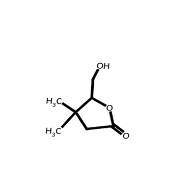 CC1(C)CC(=O)OC1CO